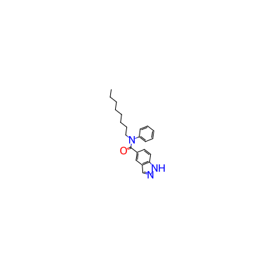 CCCCCCCCN(C(=O)c1ccc2[nH]ncc2c1)c1ccccc1